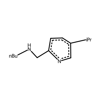 CCCCNCc1ccc(C(C)C)cn1